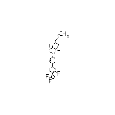 CCCCC1CC[C@@H]2C[C@H](c3ccc(-c4ccc(OC(F)F)c(F)c4)cc3)CC[C@@H]2C1